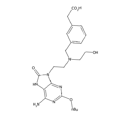 CCCCOc1nc(N)c2[nH]c(=O)n(CCN(CCO)Cc3cccc(CC(=O)O)c3)c2n1